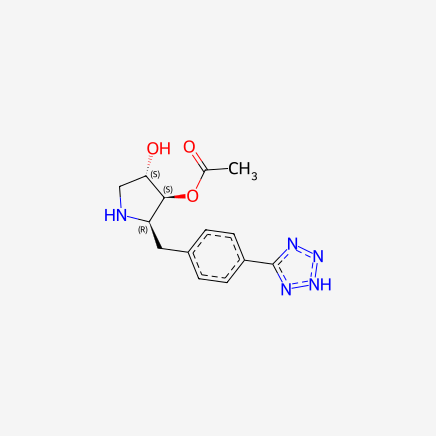 CC(=O)O[C@@H]1[C@@H](O)CN[C@@H]1Cc1ccc(-c2nn[nH]n2)cc1